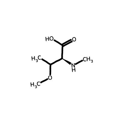 CN[C@H](C(=O)O)C(C)OC